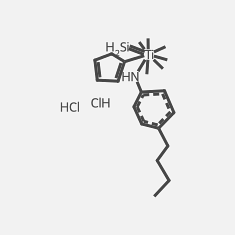 CCCCc1ccc([NH][Ti]([CH3])([CH3])([CH3])([CH3])([CH3])([CH3])(=[SiH2])[C]2=CC=CC2)cc1.Cl.Cl